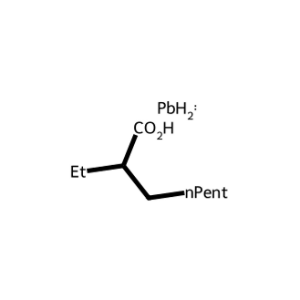 CCCCCCC(CC)C(=O)O.[PbH2]